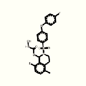 Cc1ccc(F)c2c1CCN(S(=O)(=O)c1ccc(Oc3ccc(F)cc3)cc1)C2OC(=O)NO